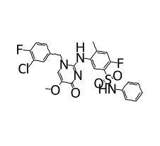 COc1cn(Cc2ccc(F)c(Cl)c2)c(Nc2cc(S(=O)(=O)Nc3ccccc3)c(F)cc2C)nc1=O